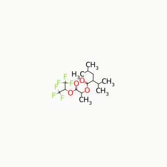 CC(C)CC(C(=O)OC(C)C(=O)OC(C(F)(F)F)C(F)(F)F)C(C)C